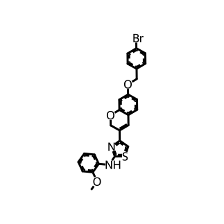 COc1ccccc1Nc1nc(C2=Cc3ccc(OCc4ccc(Br)cc4)cc3OC2)cs1